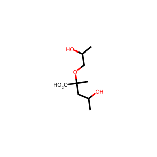 CC(O)COC(C)(CC(C)O)C(=O)O